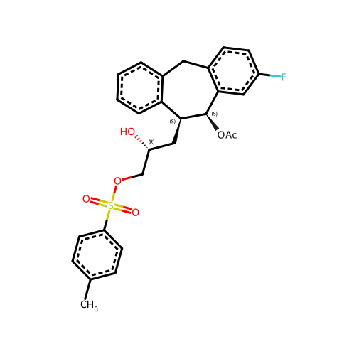 CC(=O)O[C@@H]1c2cc(F)ccc2Cc2ccccc2[C@@H]1C[C@@H](O)COS(=O)(=O)c1ccc(C)cc1